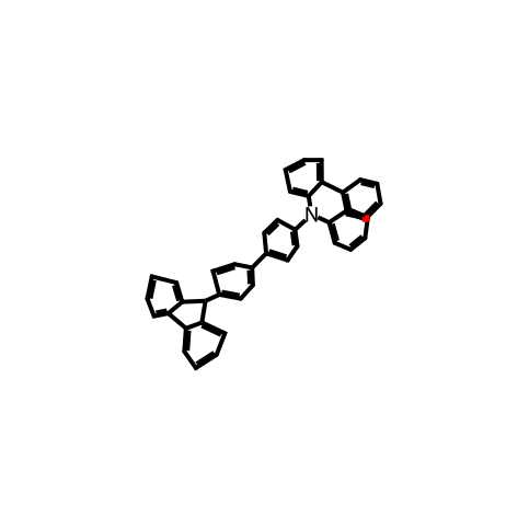 c1ccc(-c2ccccc2N(c2ccccc2)c2ccc(-c3ccc(C4c5ccccc5-c5ccccc54)cc3)cc2)cc1